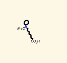 CON(CCCCCCCC(=O)O)C1CCCCC1